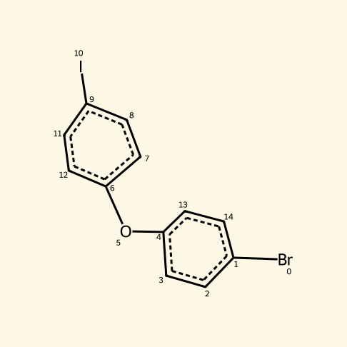 Brc1ccc(Oc2ccc(I)cc2)cc1